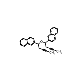 CC#CCC(OC(CC#CC)c1ccc2ccccc2c1)c1ccc2ccccc2c1